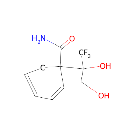 NC(=O)C1(C(O)(CO)C(F)(F)F)C=CC=CC1